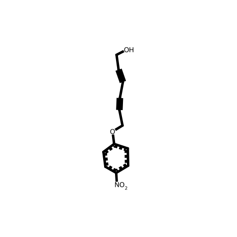 O=[N+]([O-])c1ccc(OCC#CC#CCO)cc1